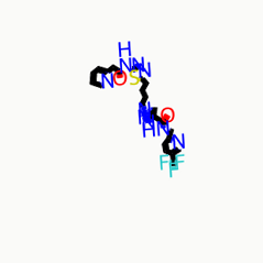 O=C(Cc1ccccn1)Nc1nnc(CCCCn2cc(C(=O)NCc3ccc(C(F)(F)F)cn3)nn2)s1